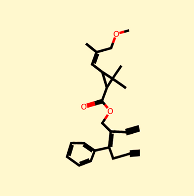 C#CCC(=C(C#C)COC(=O)C1C(C=C(C)COC)C1(C)C)c1ccccc1